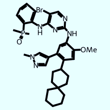 COc1cc(C2CCC3(CCCCC3)CC2)c(-c2cnn(C)c2)cc1Nc1ncc(Br)c(Nc2ccccc2P(C)(C)=O)n1